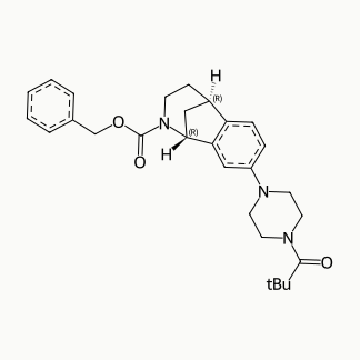 CC(C)(C)C(=O)N1CCN(c2ccc3c(c2)[C@H]2C[C@H]3CCN2C(=O)OCc2ccccc2)CC1